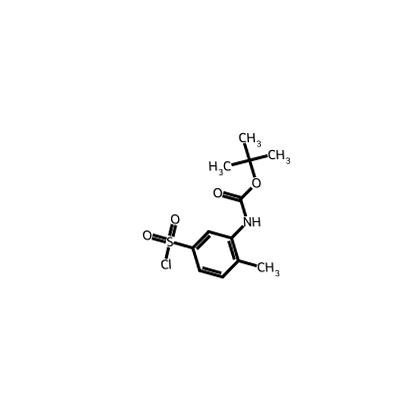 Cc1ccc(S(=O)(=O)Cl)cc1NC(=O)OC(C)(C)C